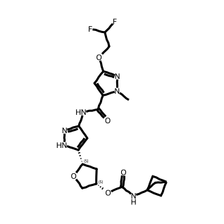 Cn1nc(OCC(F)F)cc1C(=O)Nc1cc([C@@H]2C[C@H](OC(=O)NC34CC(C3)C4)CO2)[nH]n1